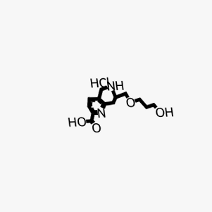 Cl.O=C(O)c1ccc2c(n1)CC(COCCCO)NC2